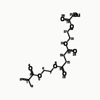 C=C(C)C(=O)OCCOC(=O)CCC(=O)OCCOC(=O)C(C)CC